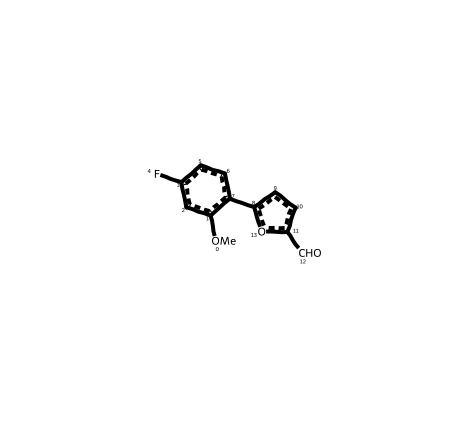 COc1cc(F)ccc1-c1ccc(C=O)o1